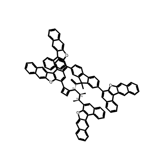 C=C([C@@H](C1=CC=C1c1cc2ccccc2c2c1oc1cc3ccccc3cc12)[C@@H](C)[C@H](C)c1cc2ccccc2c2c1oc1cc3ccccc3cc12)C1(C)c2cc(-c3cc4ccccc4c4c3oc3cc5ccccc5cc34)ccc2-c2ccc(-c3cc4ccccc4c4c3oc3cc5ccccc5cc34)cc21